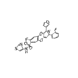 O=S(=O)(Nc1cscn1)c1cc(Cl)c(Oc2ccc(-c3ccccc3F)nc2-c2ccoc2)cc1F